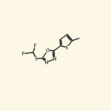 Cc1ccc(-c2nnc(SC(F)F)o2)s1